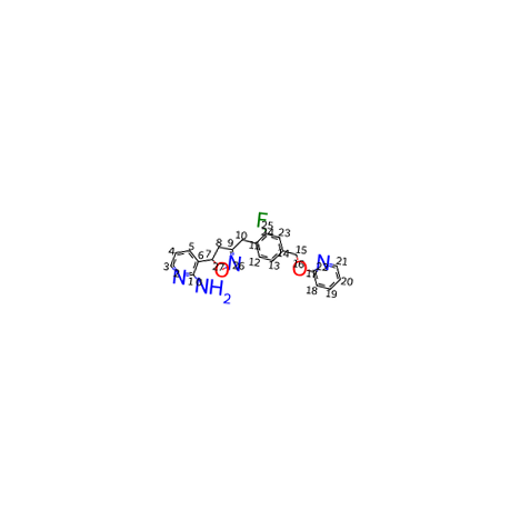 Nc1ncccc1C1CC(Cc2ccc(COc3ccccn3)cc2F)=NO1